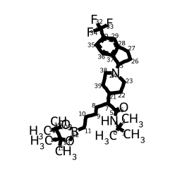 CC(C)(C)NC(=O)C(CCCCB1OC(C)(C)C(C)(C)O1)C1CCN(C2CCc3cc(C(F)(F)F)ccc32)CC1